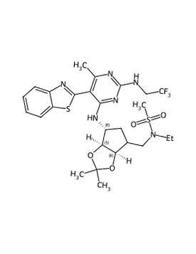 CCN(CC1C[C@@H](Nc2nc(NCC(F)(F)F)nc(C)c2-c2nc3ccccc3s2)[C@@H]2OC(C)(C)O[C@H]12)S(C)(=O)=O